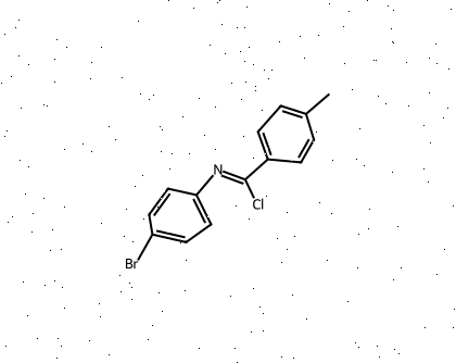 Cc1ccc(C(Cl)=Nc2ccc(Br)cc2)cc1